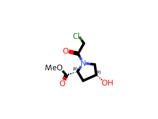 COC(=O)[C@H]1C[C@@H](O)CN1C(=O)CCl